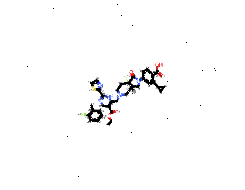 CCOC(=O)C1=C(CN2CC[C@]3(F)C(=O)N(c4ccc(C(=O)O)c(C5CC5)c4)C[C@@H]3C2)NC(c2nccs2)=N[C@H]1c1cccc(F)c1C